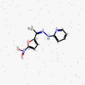 CC(=NNc1ccccn1)c1ccc([N+](=O)[O-])o1